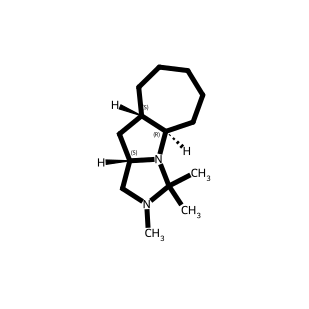 CN1C[C@@H]2C[C@@H]3CCCCC[C@H]3N2C1(C)C